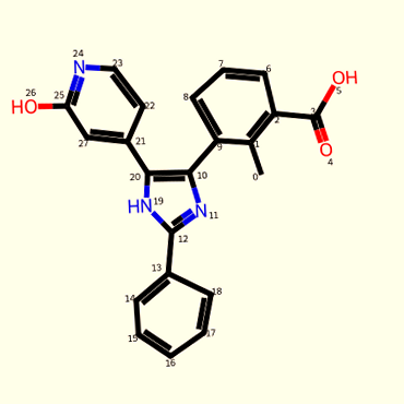 Cc1c(C(=O)O)cccc1-c1nc(-c2ccccc2)[nH]c1-c1ccnc(O)c1